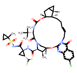 C[C@@H]1[C@@H]2CN(C(=O)[C@H](C(C)(C)C)NC(=O)O[C@@H]3CC4C[C@@H]4[C@H]3CC/C=C/Cn3c(nc4cc(Cl)ccc4c3=O)O2)[C@@H]1C(=O)N[C@]1(C(=O)NS(=O)(=O)C2(C)CC2)C[C@H]1C(F)F